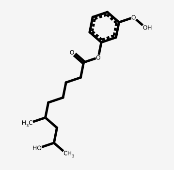 CC(O)CC(C)CCCCC(=O)Oc1cccc(OO)c1